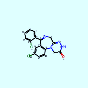 O=C1CN2C(=NN1)CN=C(c1ccccc1Cl)c1cc(Cl)ccc12